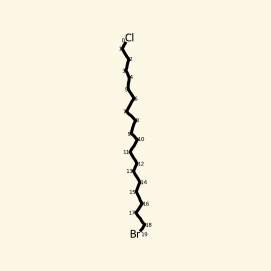 ClCCCCCCCCCCCCCCCCCCBr